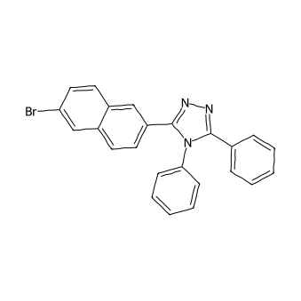 Brc1ccc2cc(-c3nnc(-c4ccccc4)n3-c3ccccc3)ccc2c1